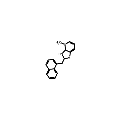 CN1C=CC=C2SC(Cc3ccnc4ccccc34)NC21